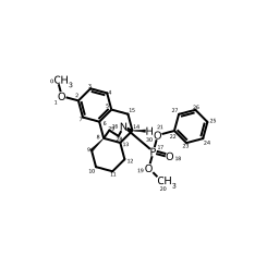 COc1ccc2c(c1)[C@@]13CCCCC1[C@@H](C2)N(P(=O)(OC)Oc1ccccc1)CC3